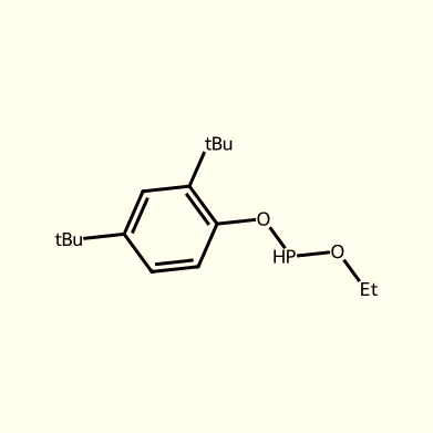 CCOPOc1ccc(C(C)(C)C)cc1C(C)(C)C